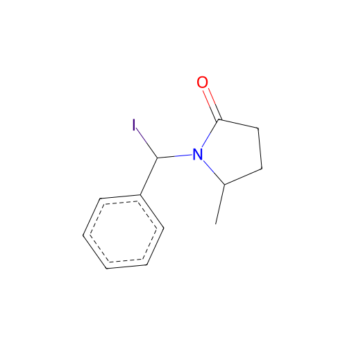 CC1CCC(=O)N1C(I)c1ccccc1